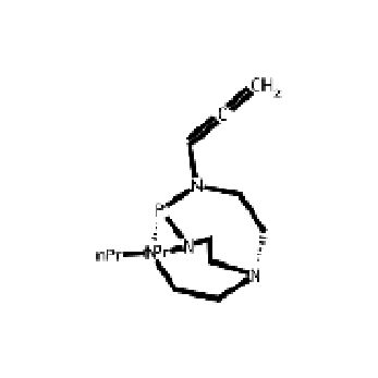 C=C=CN1CC[N@]2CCN(CCC)[P@@]1N(CCC)CC2